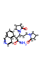 NC(=O)C(c1cccc2cnccc12)C(CCN1CCCC1=O)N1CCCC1=O